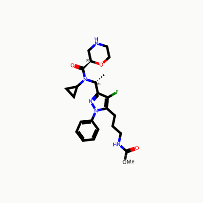 COC(=O)NCCCc1c(F)c([C@@H](C)N(C(=O)[C@H]2CNCCO2)C2CC2)nn1-c1ccccc1